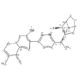 Cc1coc2cc(O)c(-c3ccc(N(C)[C@@H]4CC5CCC([C@@H]4F)N5C)nn3)cc2c1=O